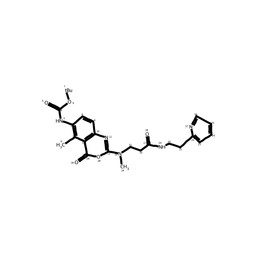 Cc1c(NC(=O)OC(C)(C)C)ccc2nc(N(C)CCC(=O)NCCc3ccccn3)oc(=O)c12